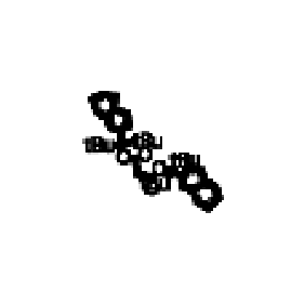 CC(C)(C)C(OC(=O)CC(=O)OC(c1ccc2ccccc2c1)(C(C)(C)C)C(C)(C)C)(c1ccc2ccccc2c1)C(C)(C)C